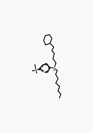 CCCCCCCC[SiH](CCCCCC1CCCCC1)c1ccc([Si](C)(C)C)cc1